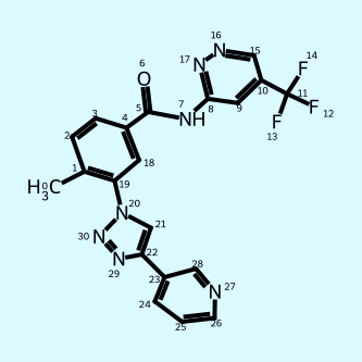 Cc1ccc(C(=O)Nc2cc(C(F)(F)F)cnn2)cc1-n1cc(-c2cccnc2)nn1